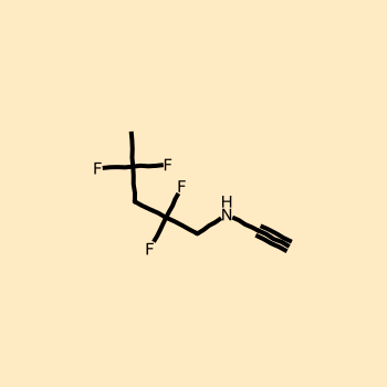 C#CNCC(F)(F)CC(C)(F)F